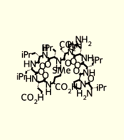 CSCC[C@H](NC(=O)[C@H](CCC(=O)O)NC(=O)[C@H](CC(C)C)NC(=O)[C@H](CC(C)C)NC(=O)[C@H](CC(C)C)NC(=O)[C@H](CC(=O)O)NC(=O)[C@H](CC(N)=O)NC(=O)[C@H](CC(C)C)NC(=O)[C@@H]1CCCN1C(=O)[C@@H](N)C(C)C)C(=O)O